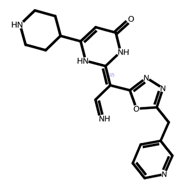 N=C/C(=C1/NC(=O)C=C(C2CCNCC2)N1)c1nnc(Cc2cccnc2)o1